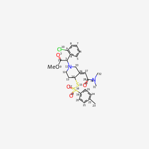 COC(=O)C(c1ccccc1Cl)N1CCC(SS(=O)(=O)c2ccc(C)cc2)/C(=C\C(=O)N(C)C)C1